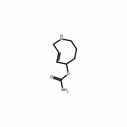 NC(=O)OC1/C=C/CNCCC1